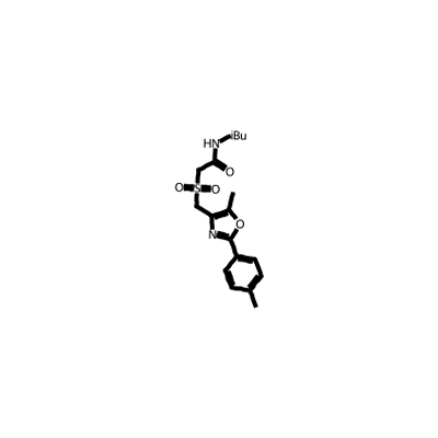 CCC(C)NC(=O)CS(=O)(=O)Cc1nc(-c2ccc(C)cc2)oc1C